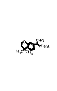 CCCCCC(C=O)c1ccc2c(c1)OCCC2(C)C